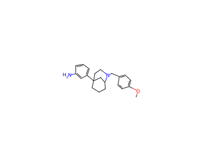 COc1ccc(CN2CCC3(c4cccc(N)c4)CCCC2C3)cc1